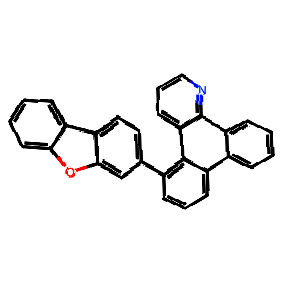 c1ccc2c(c1)oc1cc(-c3cccc4c5ccccc5c5ncccc5c34)ccc12